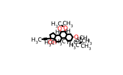 CC#C[C@]1(O)CCC2C3C(CC[C@@]21C)[C@@]1(C)CC[C@@H](O[Si](C)(C)C(C)(C)C)CC1[C@H]1OC(C)(C)O[C@H]31